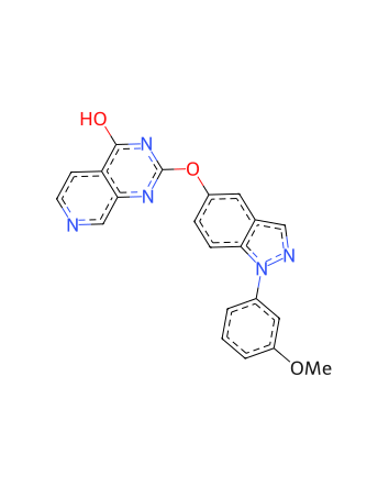 COc1cccc(-n2ncc3cc(Oc4nc(O)c5ccncc5n4)ccc32)c1